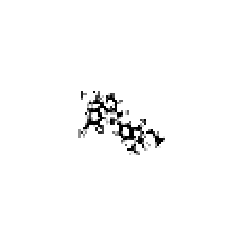 CC(C)n1c(=O)n(CC2CC2)c(=O)c2cc(NC(=O)N3CCOC(C(N)=O)(c4cnc(C#N)c(Cl)c4)C3)ccc21